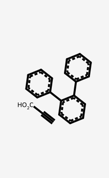 C#CC(=O)O.c1ccc(-c2ccccc2-c2ccccc2)cc1